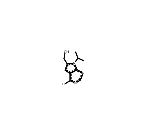 CC(C)n1c(CO)cc2c(Cl)ncnc21